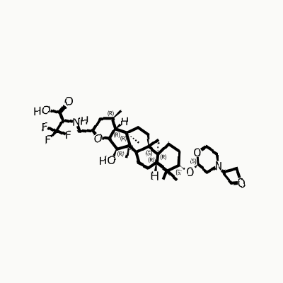 C[C@@H]1CC(CNC(C(=O)O)C(F)(F)F)OC2[C@H]1[C@@]1(C)CC[C@@]34C[C@@]35CC[C@H](O[C@H]3CN(C6COC6)CCO3)C(C)(C)[C@@H]5CCC4[C@]1(C)[C@H]2O